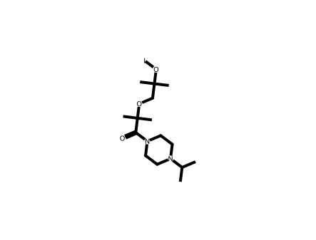 CC(C)N1CCN(C(=O)C(C)(C)OCC(C)(C)OI)CC1